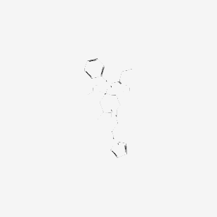 CCC(=O)N(c1ccccc1)C1(OC)CCN(CCn2cccc2)C(C)C1